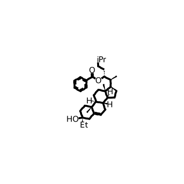 CC[C@]1(O)CC[C@@]2(C)C(=CC[C@H]3[C@@H]4CC[C@H]([C@H](C)[C@@H](CCC(C)C)OC(=O)c5ccccc5)[C@@]4(C)CC[C@@H]32)C1